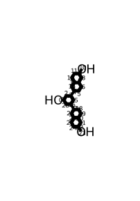 Oc1cc(-c2ccc3cc(O)ccc3c2)cc(-c2ccc3cc(O)ccc3c2)c1